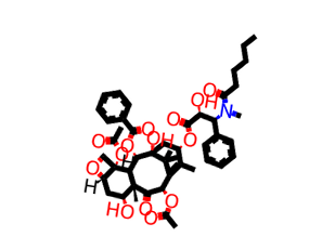 CCCCCC(=O)N(C)[C@@H](c1ccccc1)[C@@H](O)C(=O)O[C@H]1C[C@@]2(O)[C@@H](OC(=O)c3ccccc3)[C@@H]3[C@]4(OC(C)=O)CO[C@@H]4C[C@H](O)[C@@]3(C)C(=O)[C@H](OC(C)=O)C(=C1C)C2(C)C